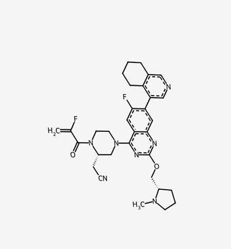 C=C(F)C(=O)N1CCN(c2nc(OC[C@@H]3CCCN3C)nc3cc(-c4cncc5c4CCCC5)c(F)cc23)C[C@@H]1CC#N